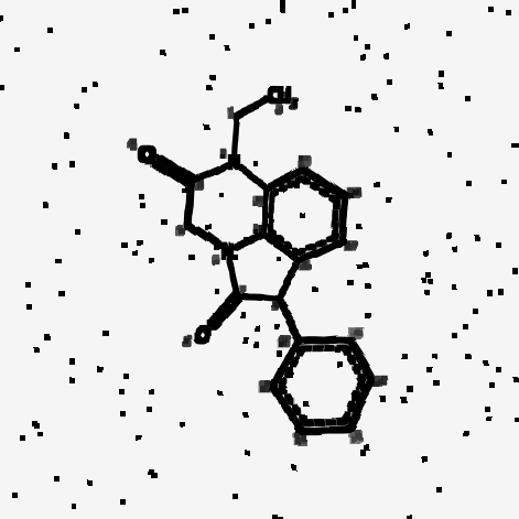 CCN1C(=O)CN2C(=O)C(c3ccccc3)c3cccc1c32